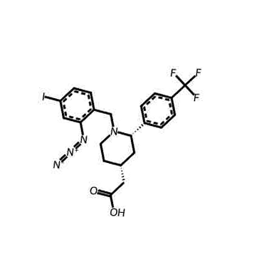 [N-]=[N+]=Nc1cc(I)ccc1CN1CC[C@@H](CC(=O)O)C[C@H]1c1ccc(C(F)(F)F)cc1